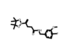 C=C(CCC(=O)NCc1ccc(F)c(OC)c1)B1OC(C)(C)C(C)(C)O1